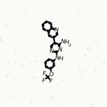 Nc1nc(Nc2cccc(OC(F)(F)F)c2)ncc1-c1cnc2ccccc2c1